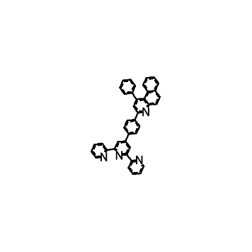 c1ccc(-c2cc(-c3ccc(-c4cc(-c5ccccn5)nc(-c5ccccn5)c4)cc3)nc3ccc4ccccc4c23)cc1